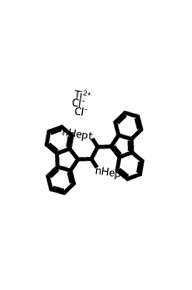 CCCCCCCC(C1=c2ccccc2=C2C=CC=CC21)C(CCCCCCC)C1c2ccccc2-c2ccccc21.[Cl-].[Cl-].[Ti+2]